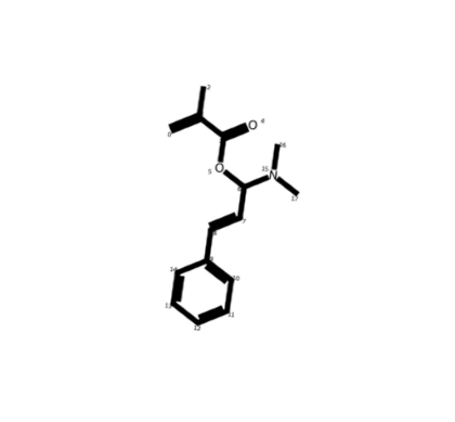 C=C(C)C(=O)OC(C=Cc1ccccc1)N(C)C